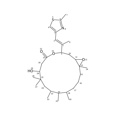 C/C(=C\c1csc(C)n1)C1CC2OC2(C)CCCC(C)C(C)C(C)CC(C)(C)C(O)CC(=O)O1